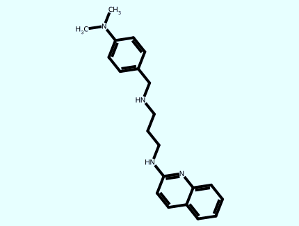 CN(C)c1ccc(CNCCCNc2ccc3ccccc3n2)cc1